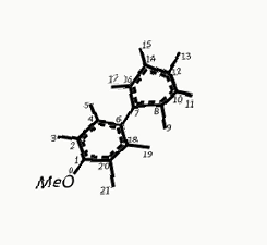 COc1c(C)c(C)c(-c2c(C)c(C)c(C)c(C)c2C)c(C)c1C